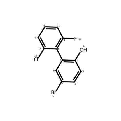 Oc1ccc(Br)cc1-c1c(F)cccc1Cl